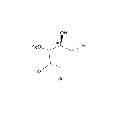 CC(=O)OC(C(O)CBr)[C@@H](O)CBr